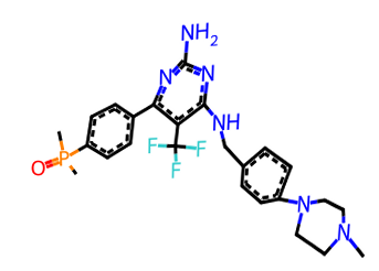 CN1CCN(c2ccc(CNc3nc(N)nc(-c4ccc(P(C)(C)=O)cc4)c3C(F)(F)F)cc2)CC1